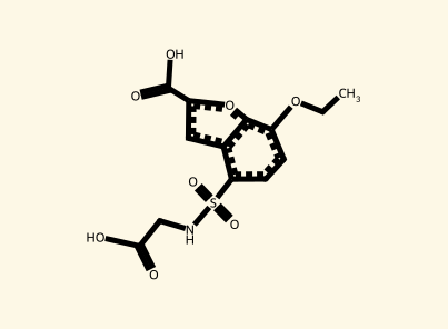 CCOc1ccc(S(=O)(=O)NCC(=O)O)c2cc(C(=O)O)oc12